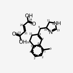 Cc1cccc2c1C=C(CC1CNC=N1)CC2.O=C(O)C=CC(=O)O